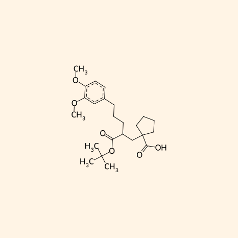 COc1ccc(CCCC(CC2(C(=O)O)CCCC2)C(=O)OC(C)(C)C)cc1OC